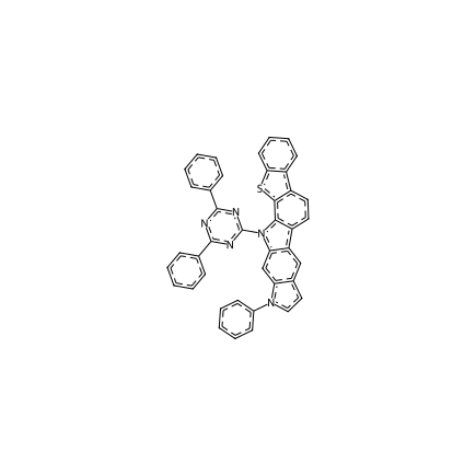 c1ccc(-c2nc(-c3ccccc3)nc(-n3c4cc5c(ccn5-c5ccccc5)cc4c4ccc5c6ccccc6sc5c43)n2)cc1